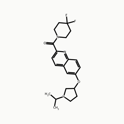 CC(C)N1CCC(Oc2ccc3nc(C(=O)N4CCC(F)(F)CC4)ccc3c2)C1